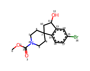 COC(=O)N1CCC2(CC1)CC(O)c1cc(Br)ccc12